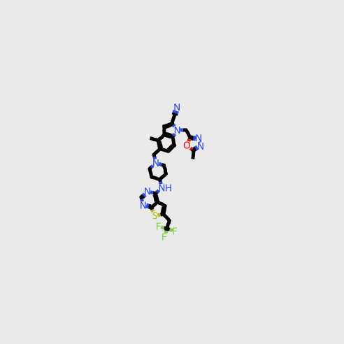 Cc1nnc(Cn2c(C#N)cc3c(C)c(CN4CCC(Nc5ncnc6sc(CC(F)(F)F)cc56)CC4)ccc32)o1